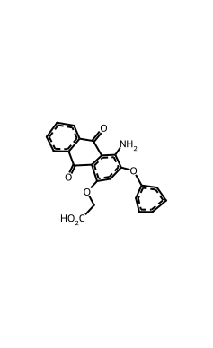 Nc1c(Oc2ccccc2)cc(OCC(=O)O)c2c1C(=O)c1ccccc1C2=O